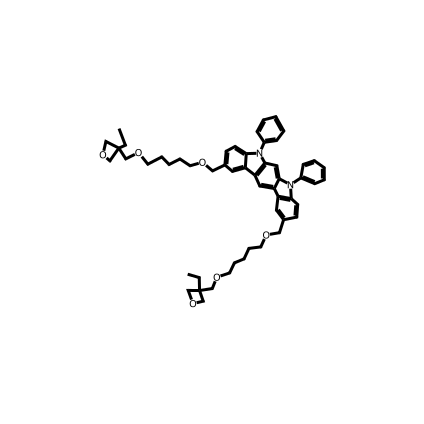 CCC1(COCCCCCOCc2ccc3c(c2)c2cc4c5cc(COCCCCCOCC6(CC)COC6)ccc5n(-c5ccccc5)c4cc2n3-c2ccccc2)COC1